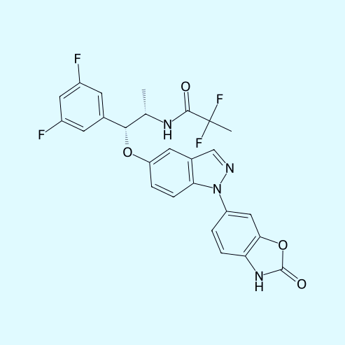 C[C@H](NC(=O)C(C)(F)F)[C@H](Oc1ccc2c(cnn2-c2ccc3[nH]c(=O)oc3c2)c1)c1cc(F)cc(F)c1